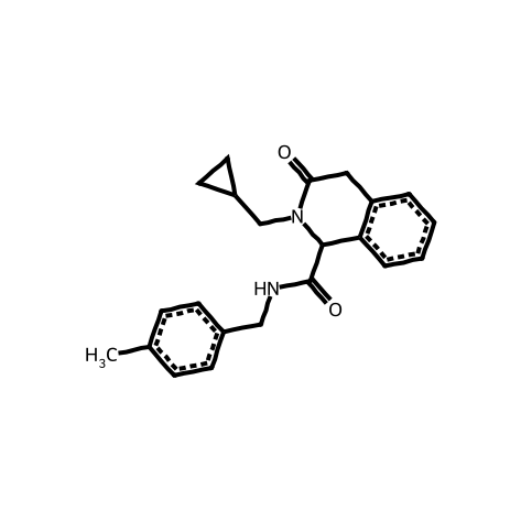 Cc1ccc(CNC(=O)C2c3ccccc3CC(=O)N2CC2CC2)cc1